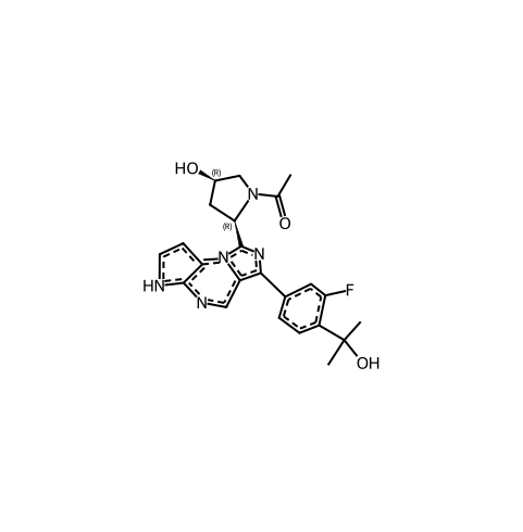 CC(=O)N1C[C@H](O)C[C@@H]1c1nc(-c2ccc(C(C)(C)O)c(F)c2)c2cnc3[nH]ccc3n12